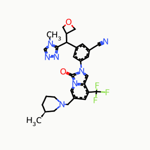 C[C@H]1CCCN(Cc2cc(C(F)(F)F)c3cn(-c4cc(C#N)cc(C(c5nncn5C)C5COC5)c4)c(=O)n3c2)C1